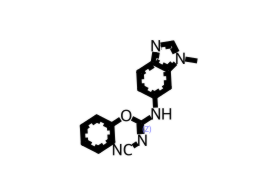 Cn1cnc2ccc(N/C(=N/C#N)Oc3ccccc3)cc21